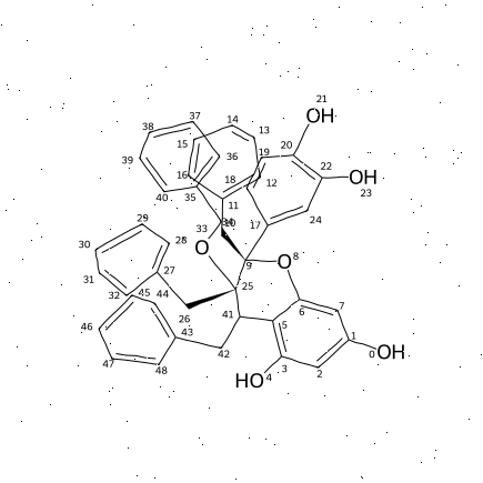 Oc1cc(O)c2c(c1)O[C@@](Cc1ccccc1)(c1ccc(O)c(O)c1)[C@@](Cc1ccccc1)(OCc1ccccc1)C2Cc1ccccc1